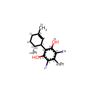 CCCc1c(I)c(O)c(C2C=C(C)CC[C@H]2C(C)C)c(O)c1I